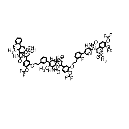 CCOc1cc(C(CS(C)(=O)=O)n2c(=O)[nH]c3cc(-c4cccc(CCOc5cc(C(CS(C)(=O)=O)n6c(=O)[nH]c7c(C)c(-c8cccc(CCOc9cc(C(CS(C)(=O)=O)n%10c(=O)[nH]c%11c(C)c(-c%12ccccc%12F)cnc%11%10)ccc9OC(F)F)c8)cnc76)ccc5OC(F)F)c4F)cnc32)ccc1OC(F)F